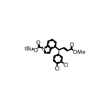 COC(=O)C=C[C@@H](c1ccc(Cl)c(Cl)c1)c1cccc2c1ccn2C(=O)OC(C)(C)C